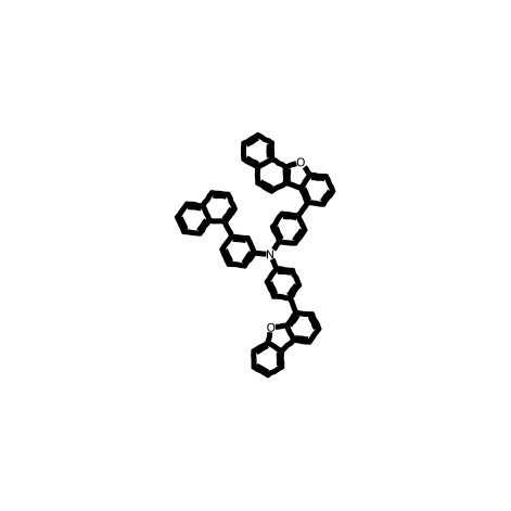 c1cc(-c2cccc3ccccc23)cc(N(c2ccc(-c3cccc4c3oc3ccccc34)cc2)c2ccc(-c3cccc4oc5c6ccccc6ccc5c34)cc2)c1